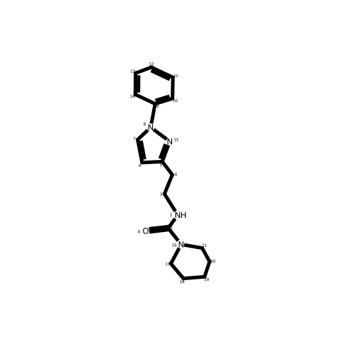 O=C(NCCc1ccn(-c2ccccc2)n1)N1CCCCC1